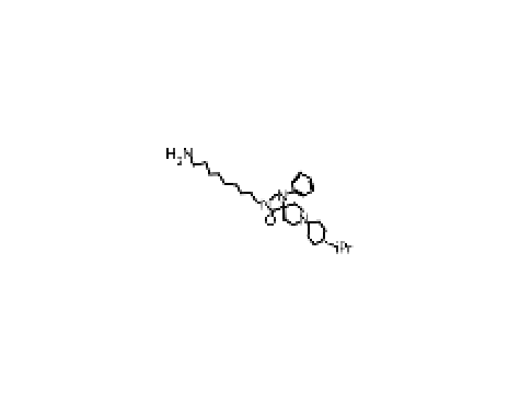 CC(C)[C@H]1CC[C@@H](N2CCC3(CC2)C(=O)N(CCCCCCCCCN)CN3c2ccccc2)CC1